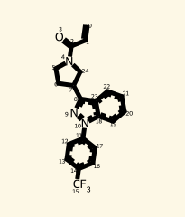 C=CC(=O)N1CCC(c2nn(-c3ccc(C(F)(F)F)cc3)c3ccccc23)C1